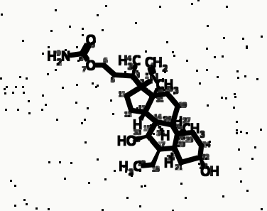 C=NC1([C@H](C)CCOC(N)=O)CC[C@H]2[C@@H]3[C@H](O)[C@H](CC)[C@@H]4C[C@H](O)CC[C@]4(C)[C@H]3CC[C@@]21C